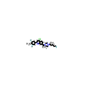 C=C(CCCCF)N1CCN(C(=C)c2ccc3c(Cl)cc(-c4cc(F)c(C)c(F)c4)nc3c2)CC1